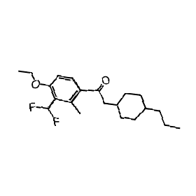 CCCC1CCC(CC(=O)c2ccc(OCC)c(C(F)F)c2C)CC1